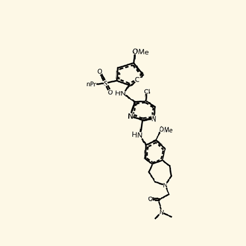 CCCS(=O)(=O)c1cc(OC)ccc1Nc1nc(Nc2cc3c(cc2OC)CCN(CC(=O)N(C)C)CC3)ncc1Cl